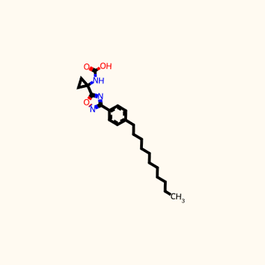 CCCCCCCCCCCc1ccc(-c2noc(C3(NC(=O)O)CC3)n2)cc1